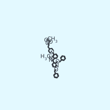 Cn1nc(-c2ccc(OCc3ccccc3)nc2OCc2ccccc2)c2cccc(N3CCC(CCOS(C)(=O)=O)CC3)c21